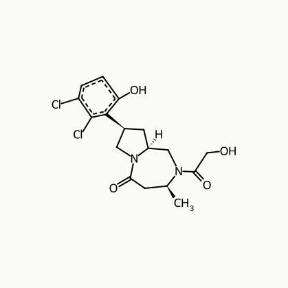 C[C@H]1CC(=O)N2C[C@@H](c3c(O)ccc(Cl)c3Cl)C[C@H]2CN1C(=O)CO